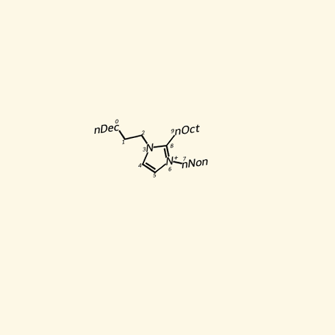 CCCCCCCCCCCCn1cc[n+](CCCCCCCCC)c1CCCCCCCC